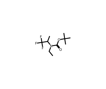 CCN(C(=O)OC(C)(C)C)C(C)C(F)(F)F